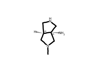 CN1C[C@H]2CNC[C@@]2(N)C1